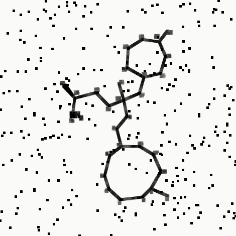 CC1CCCCCC(CCC(C)(CC[C@H](C)N)CC2CCCC(C)CC2)CCC1